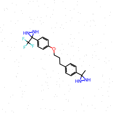 CC1(c2ccc(CCCOc3ccc(C4(C(F)(F)F)NN4)cc3)cc2)NN1